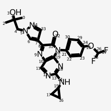 CC(C)(O)Cn1cc(-c2nc3cnc(NC4CC4)nc3n(-c3ccc(OC(F)F)cc3)c2=O)cn1